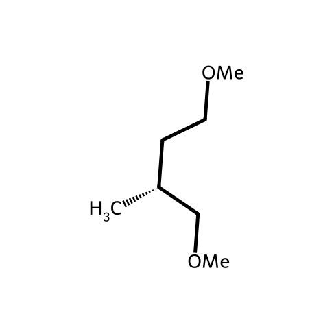 COCC[C@@H](C)COC